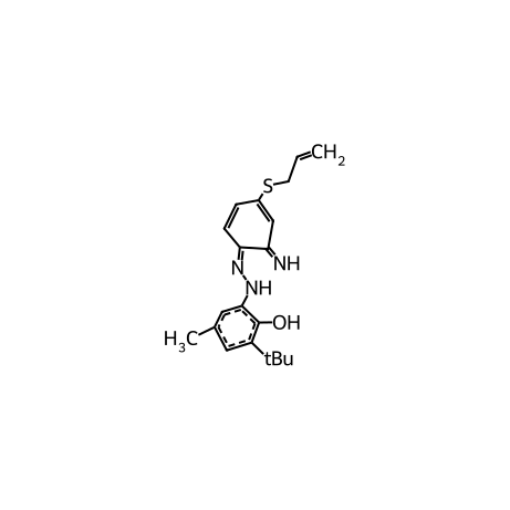 C=CCSC1=CC(=N)/C(=N\Nc2cc(C)cc(C(C)(C)C)c2O)C=C1